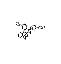 COc1ccccc1-n1c(=O)nc(N2CC[C@@H](O)C2)c2ccc(Cl)cc21